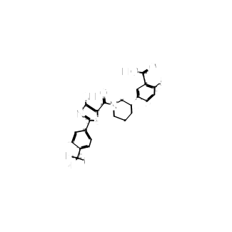 Cc1nc(-c2ccc(C(F)(F)F)cc2)sc1C(=O)N1CCC[C@H](c2ccc(F)c(C(=O)O)c2)C1